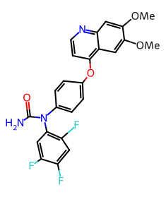 COc1cc2nccc(Oc3ccc(N(C(N)=O)c4cc(F)c(F)cc4F)cc3)c2cc1OC